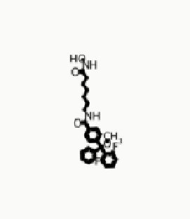 COC(c1ccc(C(=O)NCCCCCCC(=O)NO)cc1)(c1ccccc1F)c1ccccc1F